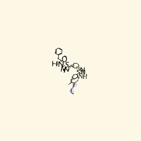 C=C(C)/C(=C\C=C/C)CC(=O)Nc1nnc([C@H]2CCC[C@H](c3nnc(NC(=O)Cc4ccccc4)s3)C2)s1